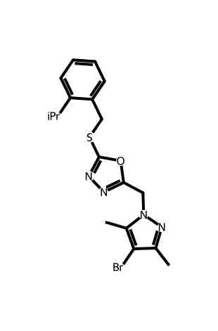 Cc1nn(Cc2nnc(SCc3ccccc3C(C)C)o2)c(C)c1Br